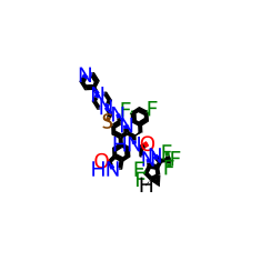 O=C(Cn1nc(C(F)(F)F)c2c1C(F)(F)[C@@H]1CC21)N[C@H](Cc1cc(F)cc(F)c1)c1nc2nc(N3CCN(c4ccncc4)CC3)sc2cc1-c1ccc2c(c1)C(=O)NC2